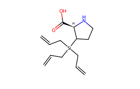 C=CC[Si](CC=C)(CC=C)C1CCN[C@@H]1C(=O)O